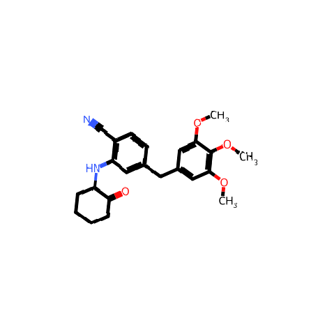 COc1cc(Cc2ccc(C#N)c(NC3CCCCC3=O)c2)cc(OC)c1OC